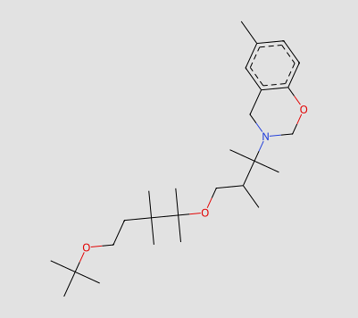 Cc1ccc2c(c1)CN(C(C)(C)C(C)COC(C)(C)C(C)(C)CCOC(C)(C)C)CO2